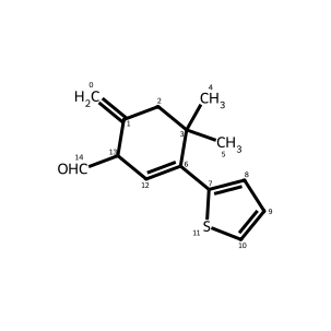 C=C1CC(C)(C)C(c2cccs2)=CC1C=O